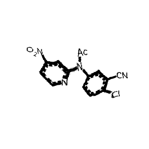 CC(=O)N(c1ccc(Cl)c(C#N)c1)c1cc([N+](=O)[O-])ccn1